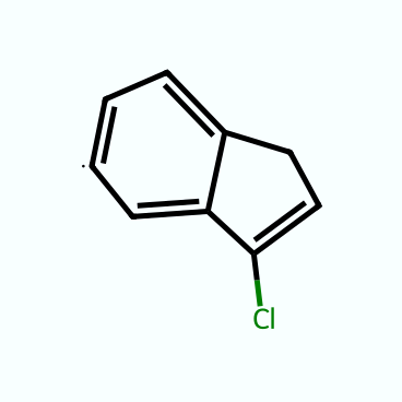 ClC1=CCc2cc[c]cc21